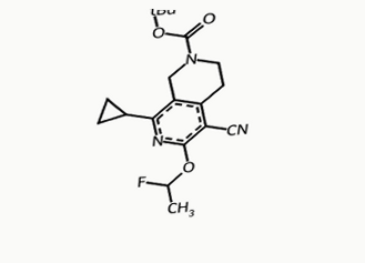 CC(F)Oc1nc(C2CC2)c2c(c1C#N)CCN(C(=O)OC(C)(C)C)C2